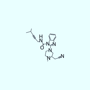 CC(C)C#CCNC(=O)n1c(N2CCN(C)C(CC#N)C2)nc2ccccc21